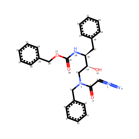 [N-]=[N+]=CC(=O)N(Cc1ccccc1)C[C@@H](O)[C@H](Cc1ccccc1)NC(=O)OCc1ccccc1